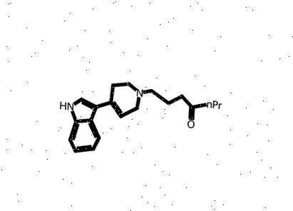 CCCC(=O)CCCN1CC=C(c2c[nH]c3ccccc23)CC1